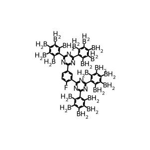 Bc1c(B)c(B)c(-c2nc(-c3ccc(F)c(-c4nc(-c5c(B)c(B)c(B)c(B)c5B)nc(-c5c(B)c(B)c(B)c(B)c5B)n4)c3)nc(-c3c(B)c(B)c(B)c(B)c3B)n2)c(B)c1B